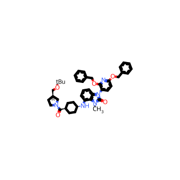 Cn1c(=O)n(-c2ccc(OCc3ccccc3)nc2OCc2ccccc2)c2cccc(N[C@H]3CC[C@H](C(=O)N4CC[C@@H](COC(C)(C)C)C4)CC3)c21